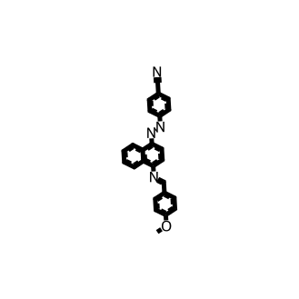 COc1ccc(C=Nc2ccc(N=Nc3ccc(C#N)cc3)c3ccccc23)cc1